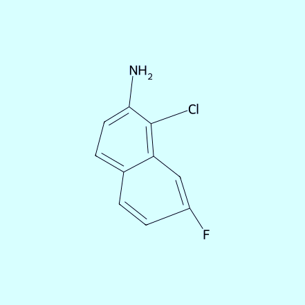 Nc1ccc2ccc(F)cc2c1Cl